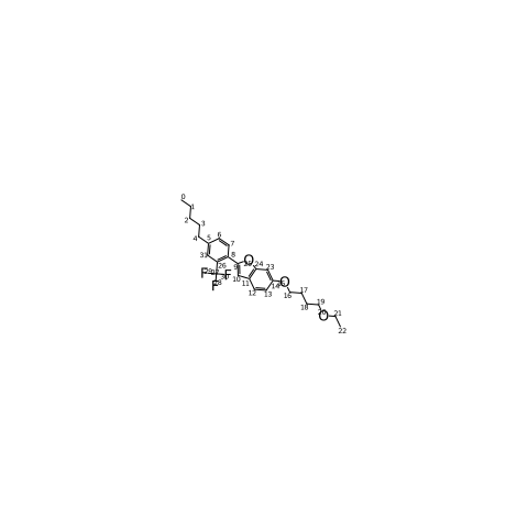 CCCCCc1ccc(-c2cc3ccc(OCCCCOCC)cc3o2)c(C(F)(F)F)c1